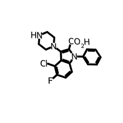 O=C(O)c1c(N2CCNCC2)c2c(Cl)c(F)ccc2n1-c1ccccc1